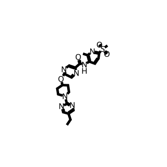 CCc1cnc(N2CCC(Oc3cnc(C(=O)Nc4ccc(S(C)(=O)=O)nc4C)cn3)CC2)nc1